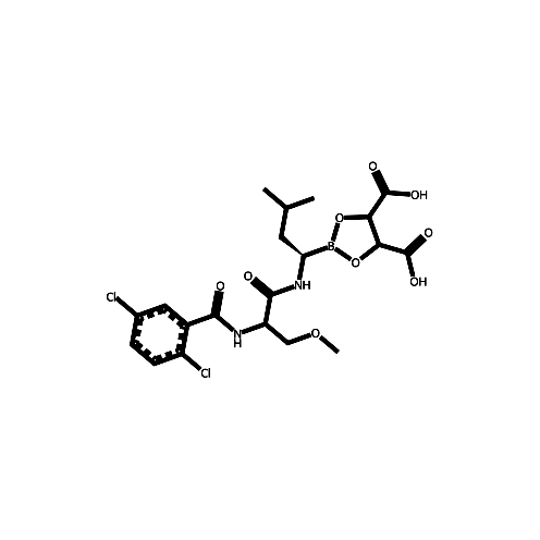 COCC(NC(=O)c1cc(Cl)ccc1Cl)C(=O)N[C@@H](CC(C)C)B1OC(C(=O)O)C(C(=O)O)O1